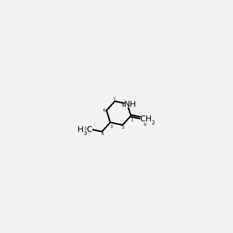 C=C1CC(CC)CCN1